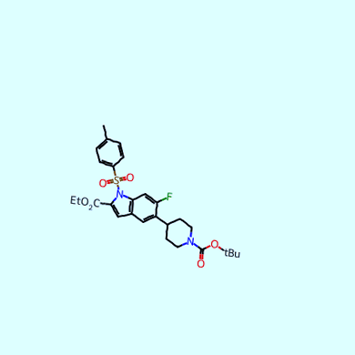 CCOC(=O)c1cc2cc(C3CCN(C(=O)OC(C)(C)C)CC3)c(F)cc2n1S(=O)(=O)c1ccc(C)cc1